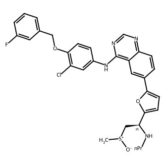 CCCN[C@@H](C[S+](C)[O-])c1ccc(-c2ccc3ncnc(Nc4ccc(OCc5cccc(F)c5)c(Cl)c4)c3c2)o1